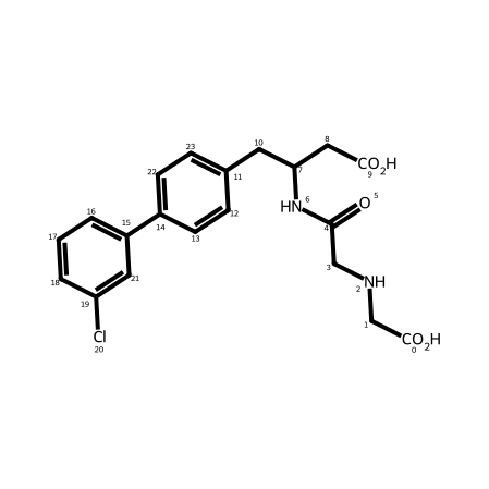 O=C(O)CNCC(=O)NC(CC(=O)O)Cc1ccc(-c2cccc(Cl)c2)cc1